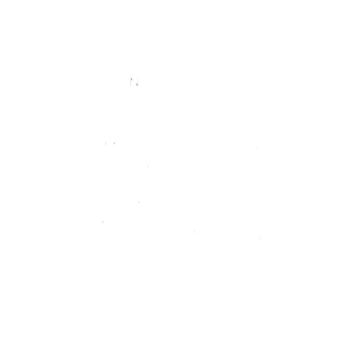 N#Cc1ccccc1[S+]([O-])c1ccccc1CO